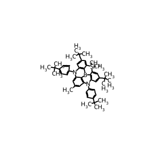 Cc1cc2c3c(c1)N(c1ccc(C(C)(C)C)cc1)c1cc(C(C)(C)C)cc4c1B3c1c(cc(C(C)(C)C)cc1[Si]4(C)C)N2c1ccc(C(C)(C)C)cc1